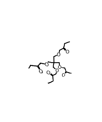 CCC(=O)COCC(COCC(C)=O)(COCC(=O)CC)COCC(=O)CC